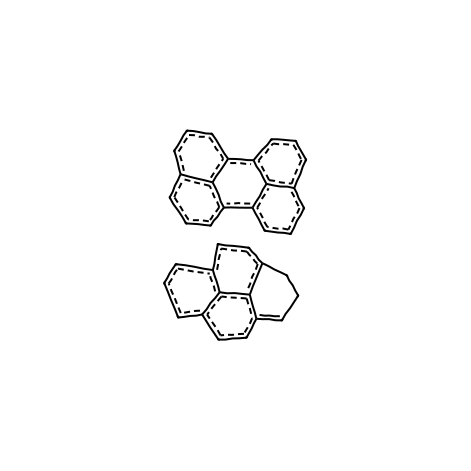 C1=c2ccc3cccc4ccc(c2c43)CC1.c1cc2cccc3c4cccc5cccc(c(c1)c23)c54